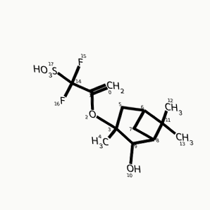 C=C(OC1(C)CC2CC(C1O)C2(C)C)C(F)(F)S(=O)(=O)O